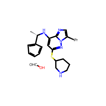 CC(C)c1cnc2c(N[C@@H](C)c3ccccc3)cc(SC3CCCNC3)nn12.O=CO